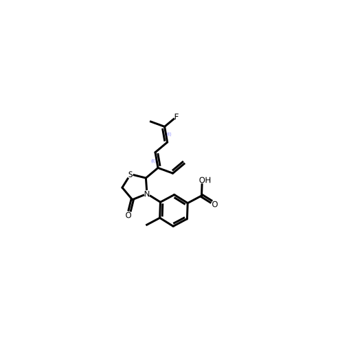 C=C/C(=C\C=C(/C)F)C1SCC(=O)N1c1cc(C(=O)O)ccc1C